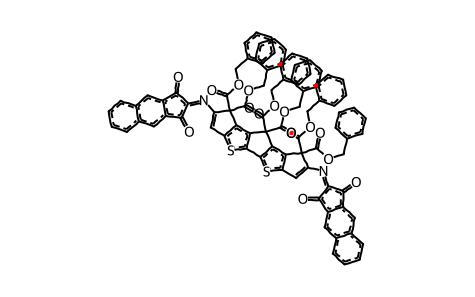 O=C(OCc1ccccc1)C1(C(=O)OCc2ccccc2)C(N=c2c(=O)c3cc4ccccc4cc3c2=O)=Cc2sc3c(c21)C(C(=O)OCc1ccccc1)(C(=O)OCc1ccccc1)c1c-3sc2c1C(C(=O)OCc1ccccc1)(C(=O)OCc1ccccc1)C(N=c1c(=O)c3cc4ccccc4cc3c1=O)=C2